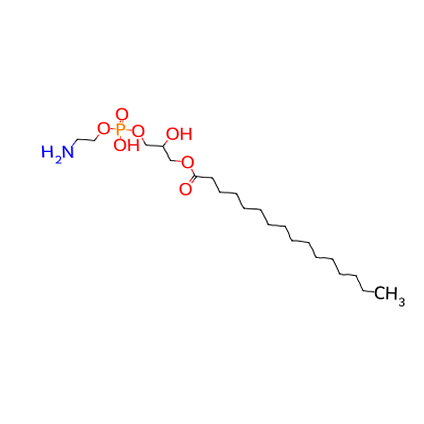 CCCCCCCCCCCCCCCC(=O)OCC(O)COP(=O)(O)OCCN